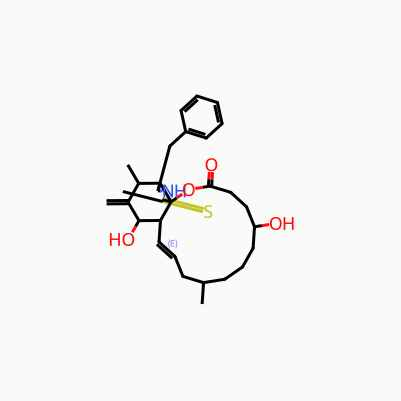 C=C1C(C)C2C(Cc3ccccc3)NC(=S)C23OC(=O)CCC(O)CCCC(C)C/C=C/C3C1O